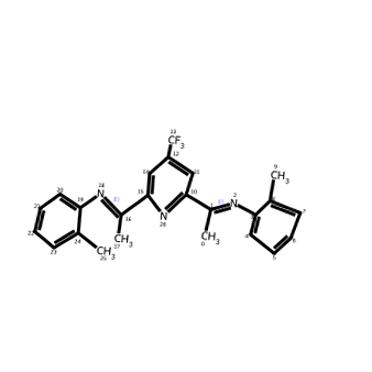 C/C(=N\c1ccccc1C)c1cc(C(F)(F)F)cc(/C(C)=N/c2ccccc2C)n1